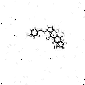 C[C@@H]1CC[C@H](CCc2ccc(F)cc2)N1C(=O)c1ccc2cc[nH]c2c1